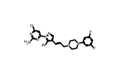 CC(C)c1c(C=CCN2CCN(c3cc(F)cc(F)c3)CC2)cnn1-c1cc(Cl)nc(N)n1